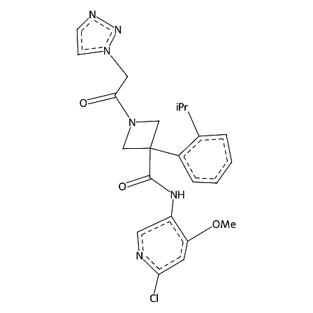 COc1cc(Cl)ncc1NC(=O)C1(c2ccccc2C(C)C)CN(C(=O)Cn2ccnn2)C1